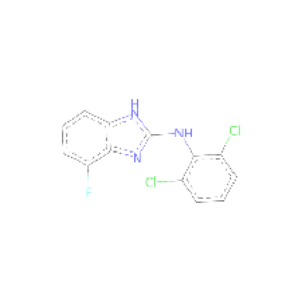 Fc1cccc2[nH]c(Nc3c(Cl)cccc3Cl)nc12